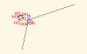 CCCCCCCCCCCCCCCCCCCCCCCCCC(=O)N[C@@H](CO[C@H]1O[C@H](CO)[C@H](O)[C@H](O)[C@H]1O)[C@H](O)[C@@H](O)CCCCCCCCCCCCCC